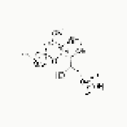 CC(=O)OC1(C(=O)O)C[C@H](O)[C@@H](N)[C@H](C(O)C(O)COP(=O)(O)O)O1